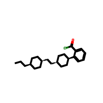 CCC[C@H]1CC[C@H](CC[C@H]2CC[C@H](c3ccccc3C(=O)Cl)CC2)CC1